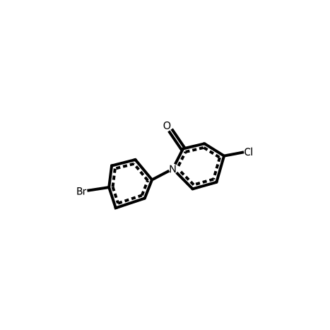 O=c1cc(Cl)ccn1-c1ccc(Br)cc1